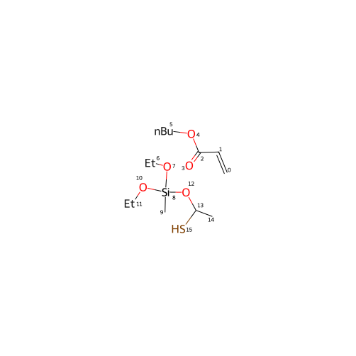 C=CC(=O)OCCCC.CCO[Si](C)(OCC)OC(C)S